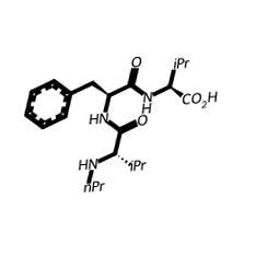 CCCN[C@H](C(=O)N[C@@H](Cc1ccccc1)C(=O)N[C@H](C(=O)O)C(C)C)C(C)C